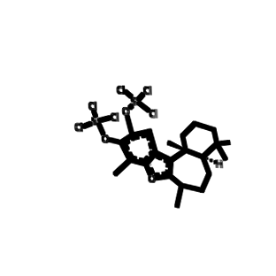 Cc1c(O[Si](Cl)(Cl)Cl)c(O[Si](Cl)(Cl)Cl)cc2c3c(oc12)C(C)CC[C@@H]1C(C)(C)CCC[C@@]31C